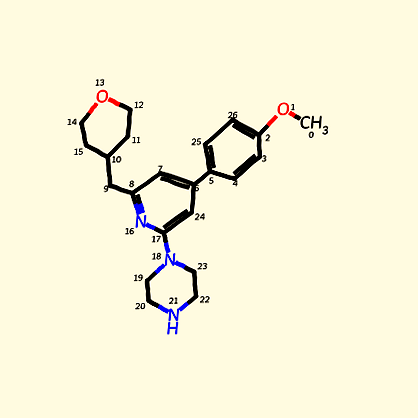 COc1ccc(-c2cc(CC3CCOCC3)nc(N3CCNCC3)c2)cc1